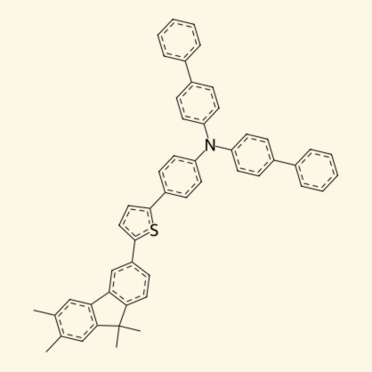 Cc1cc2c(cc1C)C(C)(C)c1ccc(-c3ccc(-c4ccc(N(c5ccc(-c6ccccc6)cc5)c5ccc(-c6ccccc6)cc5)cc4)s3)cc1-2